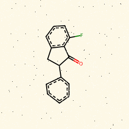 O=C1c2c(F)cccc2CC1c1ccccc1